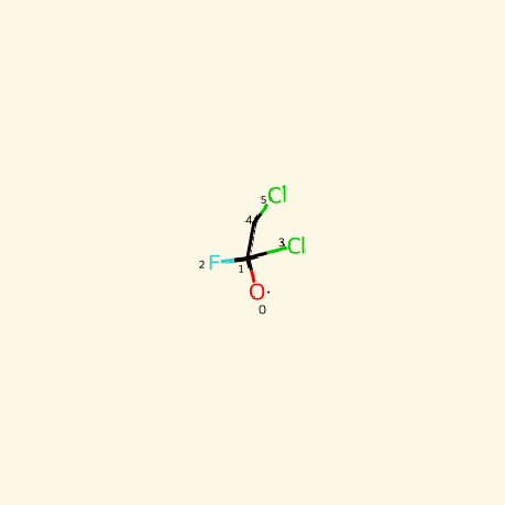 [O]C(F)(Cl)CCl